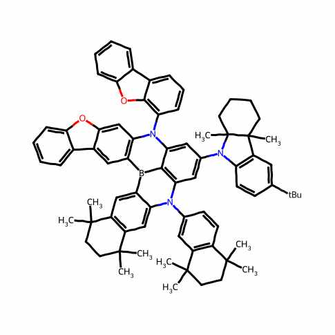 CC(C)(C)c1ccc2c(c1)C1(C)CCCCC1(C)N2c1cc2c3c(c1)N(c1cccc4c1oc1ccccc14)c1cc4oc5ccccc5c4cc1B3c1cc3c(cc1N2c1ccc2c(c1)C(C)(C)CCC2(C)C)C(C)(C)CCC3(C)C